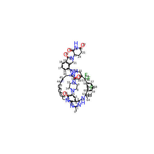 Cc1nc2c3cc(N4CCN(C(=O)CNc5cccc6c5CN(C5CCC(=O)NC5=O)C6=O)CC4)c(=O)n(c3n1)CCCC/C=C\CN1CCC(CC1)C(F)(F)c1cccc(c1F)[C@@H](C)N2